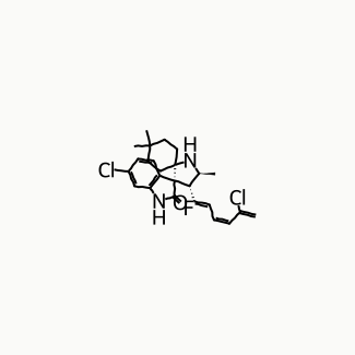 C=C(Cl)/C=C\C=C(/F)[C@H]1[C@H](C)NC2(CCC(C)(C)CC2)[C@@]12C(=O)Nc1cc(Cl)ccc12